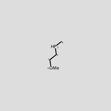 COCCPC